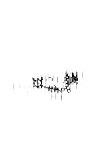 CCNC(=O)/N=C(/N)NCCC[C@@H](NC(=O)C(c1ccccc1)c1ccc(NCCCNC(=O)[C@H](N)CCCCNC(C=O)N2CCN(CC(=O)O)CCN(CC(=O)O)CCN(CC(=O)O)CC2)cc1)C(=O)NCc1ccc(O)cc1